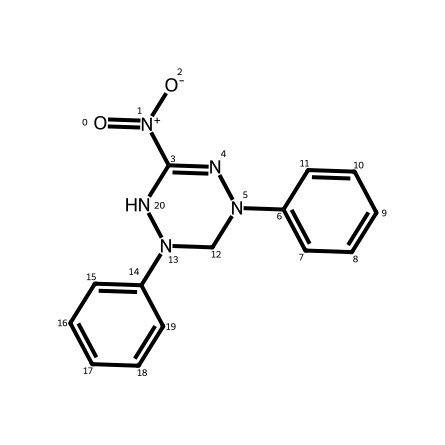 O=[N+]([O-])C1=NN(c2ccccc2)CN(c2ccccc2)N1